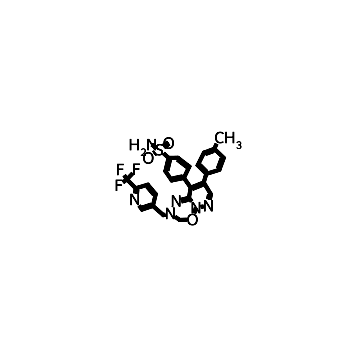 Cc1ccc(C2=C(c3ccc(S(N)(=O)=O)cc3)C3=NN(Cc4ccc(C(F)(F)F)nc4)CON3N=C2)cc1